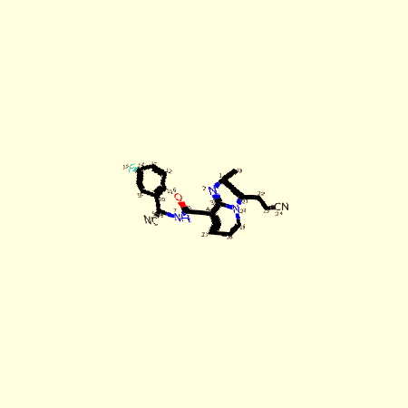 Cc1nc2c(C(=O)NC(C#N)c3cccc(F)c3)cccn2c1CCC#N